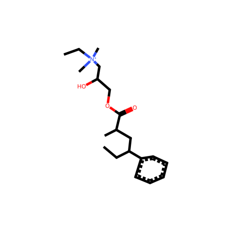 CCC(CC(C)C(=O)OCC(O)C[N+](C)(C)CC)c1ccccc1